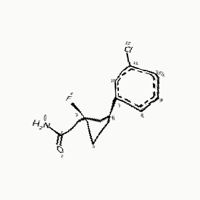 NC(=O)[C@@]1(F)C[C@@H]1c1cccc(Cl)c1